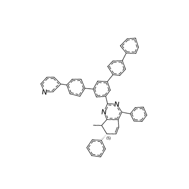 CC1c2nc(-c3cc(-c4ccc(-c5ccccc5)cc4)cc(-c4ccc(-c5cccnc5)cc4)c3)nc(-c3ccccc3)c2C=C[C@@H]1c1ccccc1